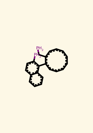 PCc1ccccccccc1-c1c(P)ccc2ccccc12